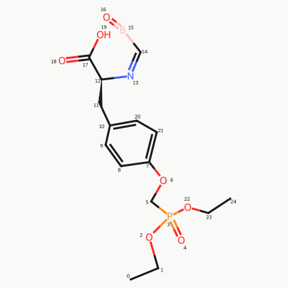 CCOP(=O)(COc1ccc(C[C@H](/N=C\B=O)C(=O)O)cc1)OCC